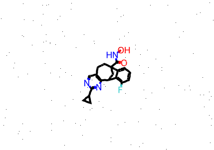 O=C(NO)C12CCc3cnc(C4CC4)nc3C(C1)c1c(F)cccc12